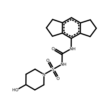 O=C(Nc1c2c(cc3c1CCC3)CCC2)NS(=O)(=O)N1CCC(O)CC1